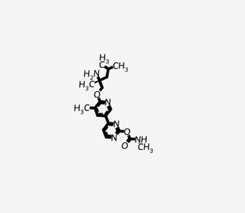 CNC(=O)Oc1nccc(-c2cnc(OC[C@](C)(N)CC(C)C)c(C)c2)n1